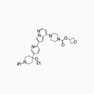 CCOC1(c2ccc(-c3cc4c(N5CCN(C(=O)OC6COC6)CC5)ccnn4c3)nc2)CCN(C(C)C)CC1